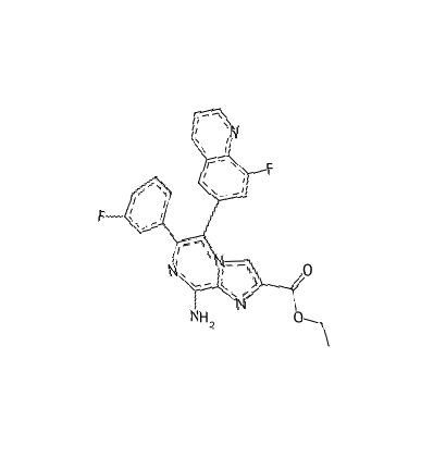 CCOC(=O)c1cn2c(-c3cc(F)c4ncccc4c3)c(-c3cccc(F)c3)nc(N)c2n1